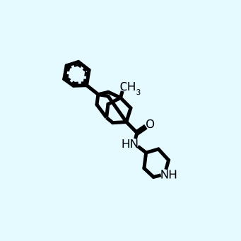 CC12CC3CC(C(=O)NC4CCNCC4)(C1)CC(c1ccccc1)(C3)C2